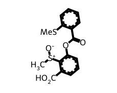 CSc1ccccc1C(=O)Oc1cccc(C(=O)O)c1[S+](C)[O-]